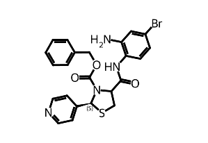 Nc1cc(Br)ccc1NC(=O)C1CS[C@@H](c2ccncc2)N1C(=O)OCc1ccccc1